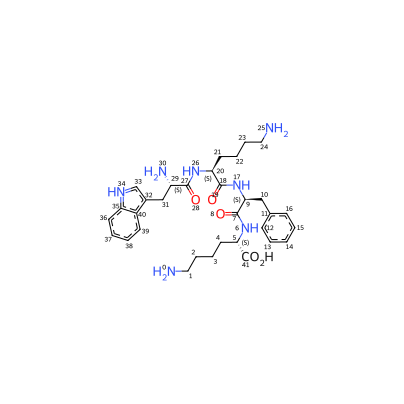 NCCCC[C@H](NC(=O)[C@H](Cc1ccccc1)NC(=O)[C@H](CCCCN)NC(=O)[C@@H](N)Cc1c[nH]c2ccccc12)C(=O)O